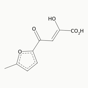 Cc1ccc(C(=O)C=C(O)C(=O)O)o1